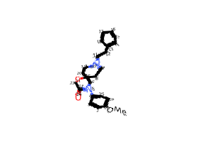 COc1ccc(N2CC3(CCN(CCc4ccccc4)CC3)OCC2=O)cc1